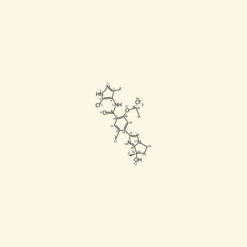 Cc1n[nH]c(Cl)c1NC(=O)c1cc(F)c(-c2cn3c(n2)[C@@](C)(O)CC3)cc1O[C@@H](C)C(F)(F)F